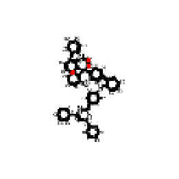 c1ccc(-c2cc(-c3ccccc3)nc(-c3ccc(-n4c5ccccc5c5ccc6c(c54)Oc4ccccc4C64c5ccccc5-n5c6ccccc6c6cccc4c65)cc3)n2)cc1